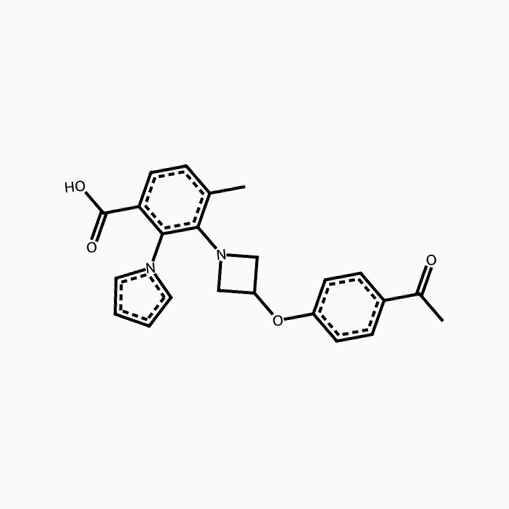 CC(=O)c1ccc(OC2CN(c3c(C)ccc(C(=O)O)c3-n3cccc3)C2)cc1